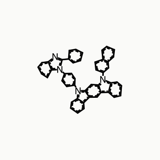 c1ccc(-c2nc3ccccc3n2-c2ccc(-n3c4ccccc4c4cc5c6ccccc6n(-c6ccc7ccccc7c6)c5cc43)cc2)cc1